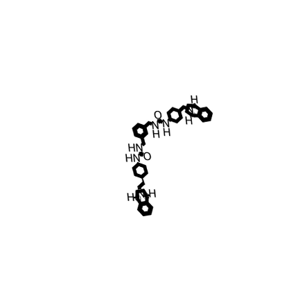 O=C(NCc1cccc(CNC(=O)N[C@H]2CC[C@H](CCN3[C@@H]4CC[C@H]3c3ccccc34)CC2)c1)NC1CCC(CN2[C@@H]3CC[C@H]2c2ccccc23)CC1